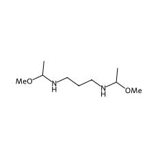 COC(C)NCCCNC(C)OC